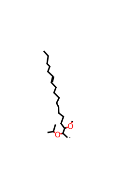 [CH2]C(OC(C)C)C(CCCCCCCCC=CCCCCC)OC